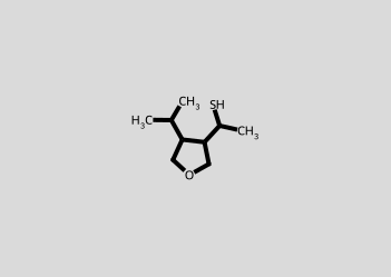 CC(C)C1COCC1C(C)S